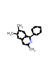 Cc1cc2cc(C)c(C)cc2c(-c2ccccc2)n1